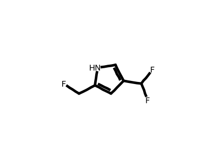 FCc1cc(C(F)F)c[nH]1